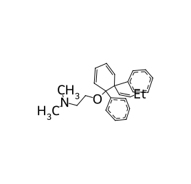 CCC=CC1(c2ccccc2)C=CC=CC1(OCCN(C)C)c1ccccc1